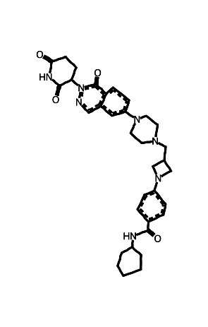 O=C1CCC(n2ncc3cc(N4CCN(CC5CN(c6ccc(C(=O)NC7CCCCC7)cc6)C5)CC4)ccc3c2=O)C(=O)N1